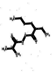 CCCCC(CC)C(=O)OOC(=O)C(C)C